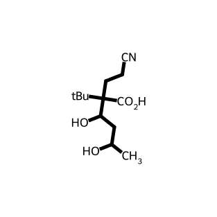 CC(O)CC(O)C(CCC#N)(C(=O)O)C(C)(C)C